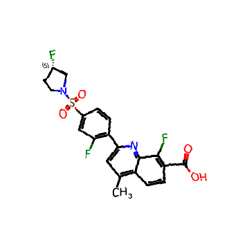 Cc1cc(-c2ccc(S(=O)(=O)N3CC[C@H](F)C3)cc2F)nc2c(F)c(C(=O)O)ccc12